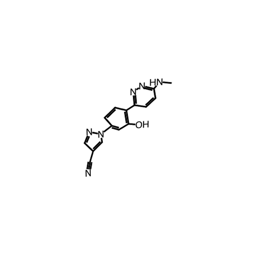 CNc1ccc(-c2ccc(-n3cc(C#N)cn3)cc2O)nn1